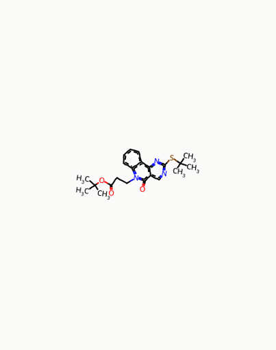 CC(C)(C)OC(=O)CCn1c(=O)c2cnc(SC(C)(C)C)nc2c2ccccc21